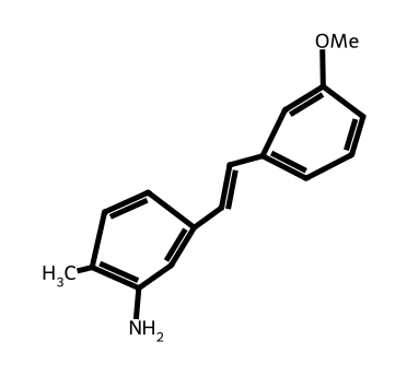 COc1cccc(/C=C/c2ccc(C)c(N)c2)c1